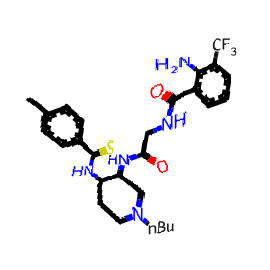 CCCCN1CCC(NC(=S)c2ccc(C)cc2)C(NC(=O)CNC(=O)c2cccc(C(F)(F)F)c2N)C1